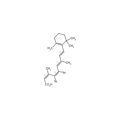 [3H]C(/C=C(C)/C=C/C1=C(C)CCCC1(C)C)=C([3H])/C(C)=C\C(=O)O